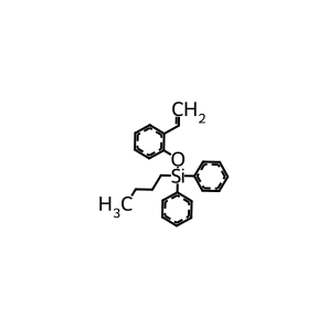 C=Cc1ccccc1O[Si](CCCC)(c1ccccc1)c1ccccc1